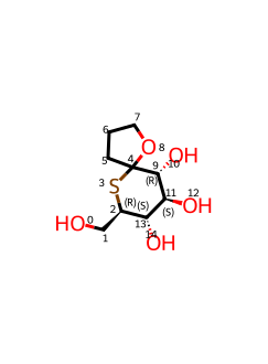 OC[C@H]1SC2(CCCO2)[C@H](O)[C@@H](O)[C@@H]1O